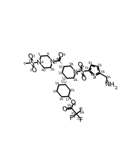 CS(=O)(=O)N1CCN(C(=O)[C@H]2C[C@@H](C3CCCC(OC(=O)C(F)(F)F)C3)CN(S(=O)(=O)c3ccc(CN)s3)C2)CC1